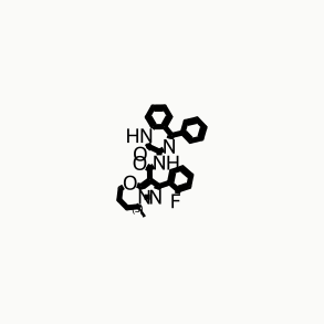 C[C@H]1CCCOc2c(C(=O)NC3N=C(c4ccccc4)c4ccccc4NC3=O)c(-c3ccccc3F)nn21